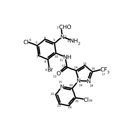 NN(C=O)c1cc(Cl)cc(Br)c1NC(=O)c1cc(C(F)(F)F)nn1-c1ncccc1Cl